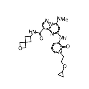 CNc1cc(Nc2cccn(CCOC3CC3)c2=O)nc2c(C(=O)NC3CC4(COC4)C3)cnn12